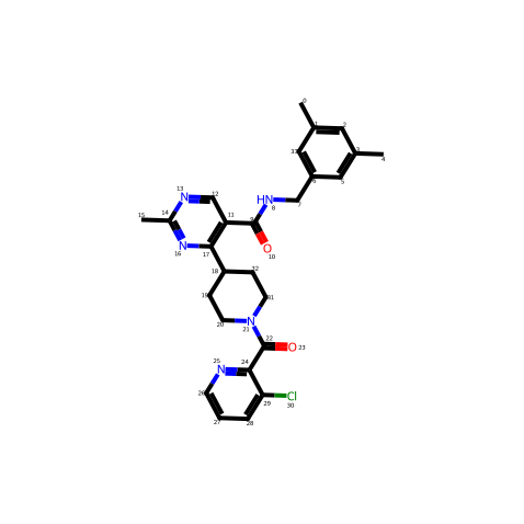 Cc1cc(C)cc(CNC(=O)c2cnc(C)nc2C2CCN(C(=O)c3ncccc3Cl)CC2)c1